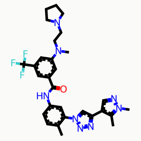 Cc1ccc(NC(=O)c2cc(N(C)CCN3CCCC3)cc(C(F)(F)F)c2)cc1-n1cc(-c2cnn(C)c2C)nn1